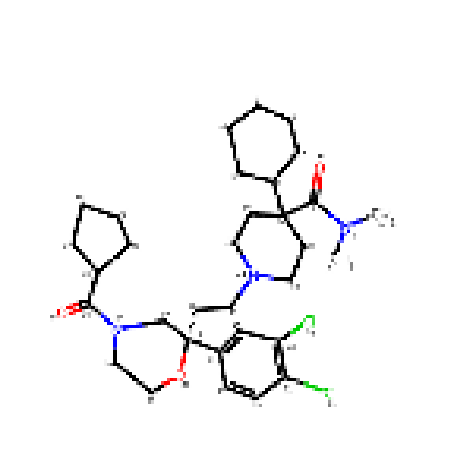 CN(C)C(=O)C1(C2CCCCC2)CCN(CC[C@@]2(c3ccc(Cl)c(Cl)c3)CN(C(=O)C3CCCC3)CCO2)CC1